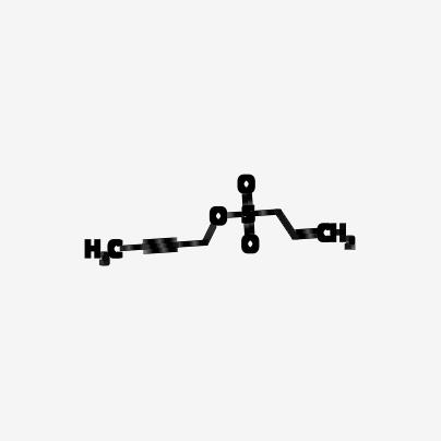 C=CCS(=O)(=O)OCC#CC